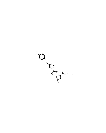 CNC(=O)[C@H]1CC(O)CN1C(=O)C(n1cc(COc2ccc([N+](=O)[O-])cc2)nn1)C(C)(C)C